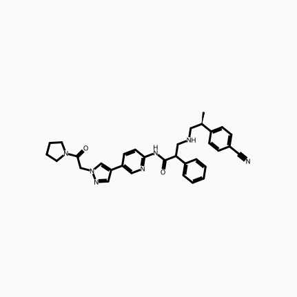 C[C@H](CNCC(C(=O)Nc1ccc(-c2cnn(CC(=O)N3CCCC3)c2)cn1)c1ccccc1)c1ccc(C#N)cc1